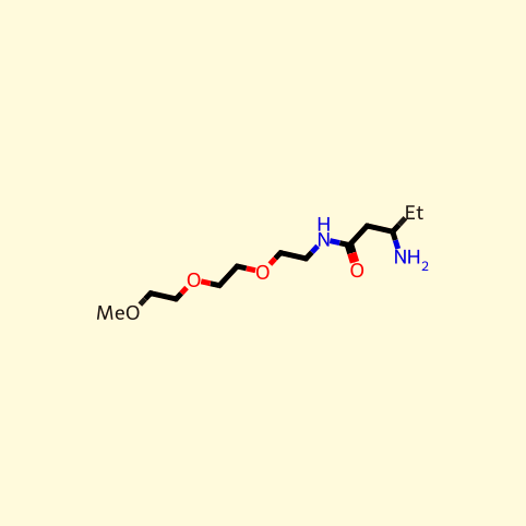 CCC(N)CC(=O)NCCOCCOCCOC